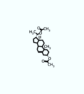 CC(=O)OC(C)[C@H]1CCC2C3CC=C4C[C@@H](OC(C)=O)CC[C@]4(C)C3CC[C@@H]21